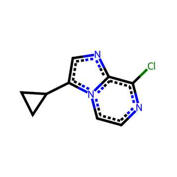 Clc1nccn2c(C3CC3)cnc12